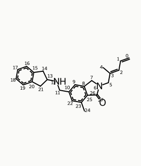 C=C/C=C(\C)CN1Cc2cc(CNC3Cc4ccccc4C3)cc(C)c2C1=O